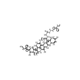 C=CC(=O)OCCCC(C)CCC(CC)N(C1=CC=C(C)C#CC1C)c1ccc(/C(C)=C/CC(CC)N(C2=CC=C(OC(=O)C=C)C(C)C2)c2ccc(C)cc2)cc1